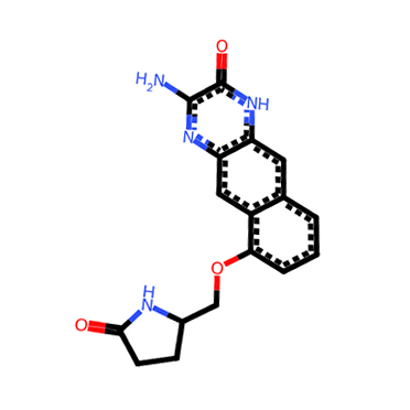 Nc1nc2cc3c(OCC4CCC(=O)N4)cccc3cc2[nH]c1=O